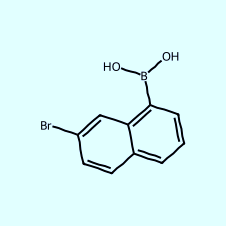 OB(O)c1cccc2ccc(Br)cc12